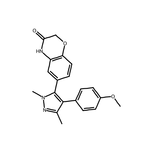 COc1ccc(-c2c(C)nn(C)c2-c2ccc3c(c2)NC(=O)CO3)cc1